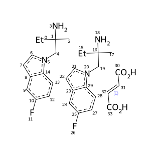 CCC(C)(N)Cn1ccc2cc(F)ccc21.CCC(C)(N)Cn1ccc2cc(F)ccc21.O=C(O)/C=C/C(=O)O